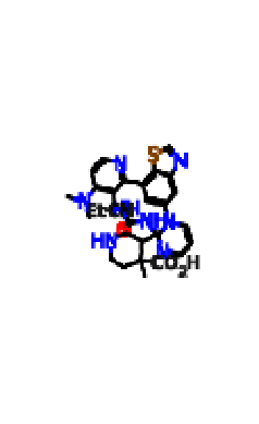 CCNC(=O)NC1(C2CNCCC2(C)C(=O)O)N=CC=CN1c1cc(-c2nccc(N(C)C)c2C#N)c2scnc2c1